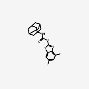 O=C(Nc1nc2c(F)cc(F)cc2s1)NC12CC3CC(CC(C3)C1)C2